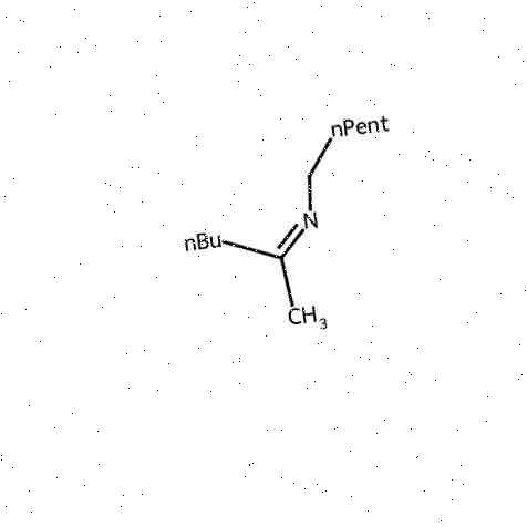 CCCCCC/N=C(/C)CCCC